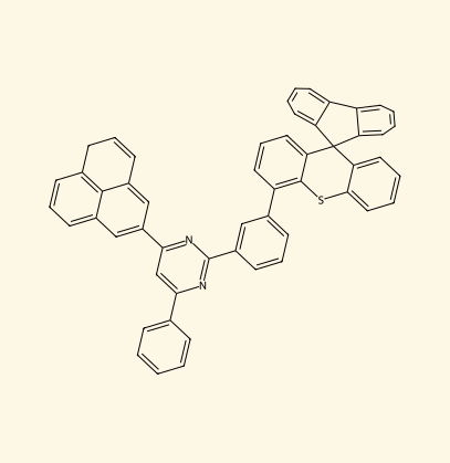 C1=Cc2cc(-c3cc(-c4ccccc4)nc(-c4cccc(-c5cccc6c5Sc5ccccc5C65c6ccccc6-c6ccccc65)c4)n3)cc3cccc(c23)C1